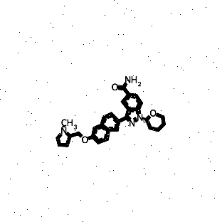 CN1CCCC1COc1ccc2cc(-c3nn([C@@H]4CCCCO4)c4ccc(C(N)=O)cc34)ccc2c1